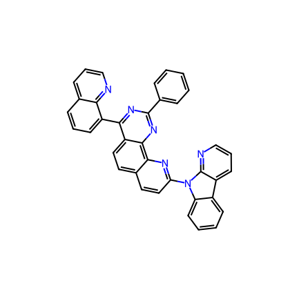 c1ccc(-c2nc(-c3cccc4cccnc34)c3ccc4ccc(-n5c6ccccc6c6cccnc65)nc4c3n2)cc1